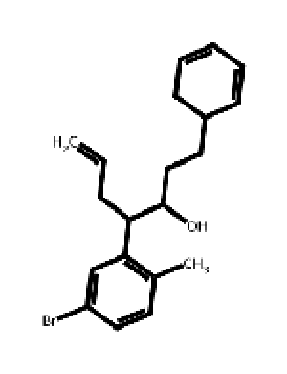 C=CCC(c1cc(Br)ccc1C)C(O)CCC1C=CC=CC1